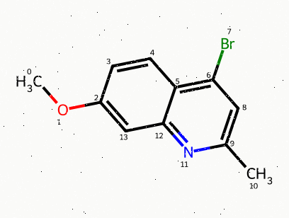 COc1ccc2c(Br)cc(C)nc2c1